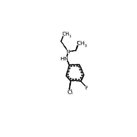 CCN(CC)Nc1ccc(F)c(Cl)c1